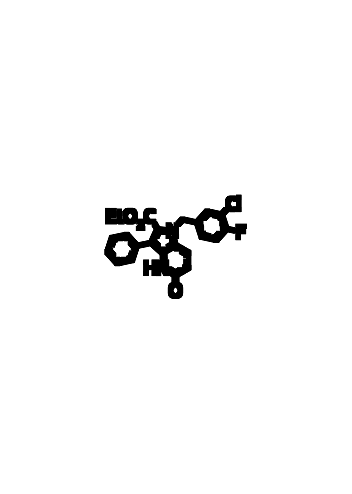 CCOC(=O)c1c(-c2ccccc2)c2[nH]c(=O)ccc2n1Cc1ccc(F)c(Cl)c1